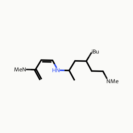 C=C(/C=C\NC(C)CC(CCNC)C(C)CC)NC